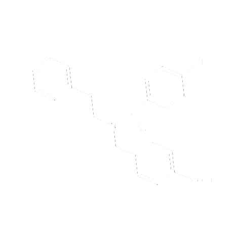 O=C(O)c1ccc(CN(CCc2ccccc2)S(=O)(=O)c2ccc(Cl)cc2)cc1